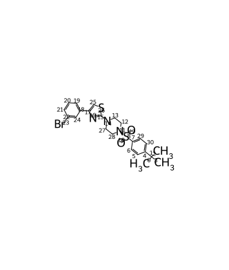 CC(C)(C)c1ccc(S(=O)(=O)N2CCN(c3nc(-c4cccc(Br)c4)cs3)CC2)cc1